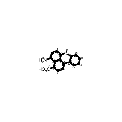 Nc1ccc2c3c(ccc(C(=O)O)c13)-c1ccccc1S2